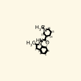 CC1Cc2ccccc2N1NC(=O)C1CCCN(C)C1